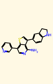 Nc1ncc(-c2cccnc2)c2scc(-c3ccc4c(c3)CCN4)c12